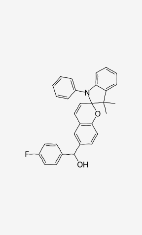 CC1(C)c2ccccc2N(c2ccccc2)C12C=Cc1cc(C(O)c3ccc(F)cc3)ccc1O2